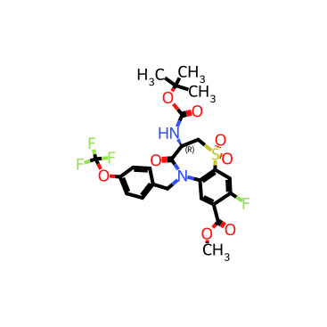 COC(=O)c1cc2c(cc1F)S(=O)(=O)C[C@H](NC(=O)OC(C)(C)C)C(=O)N2Cc1ccc(OC(F)(F)F)cc1